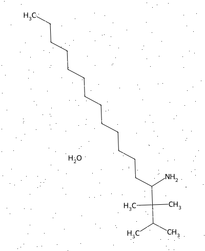 CCCCCCCCCCCCCC(N)C(C)(C)C(C)C.O